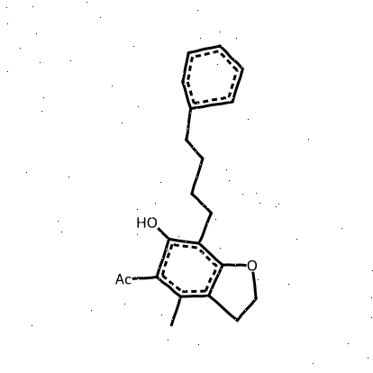 CC(=O)c1c(C)c2c(c(CCCCc3ccccc3)c1O)OCC2